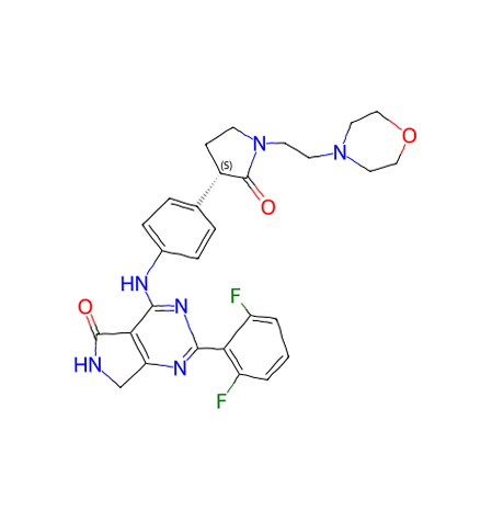 O=C1NCc2nc(-c3c(F)cccc3F)nc(Nc3ccc([C@@H]4CCN(CCN5CCOCC5)C4=O)cc3)c21